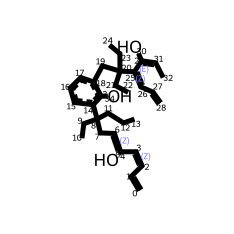 C=C/C=C\C(O)=C\CC(CC)(CCC)c1cccc(CC(CC)(CC)C(=C/C=C)/C(O)=C\C)c1O